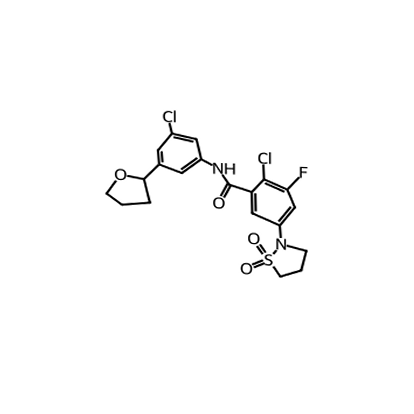 O=C(Nc1cc(Cl)cc(C2CCCO2)c1)c1cc(N2CCCS2(=O)=O)cc(F)c1Cl